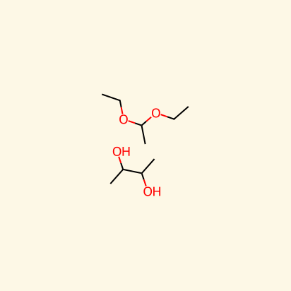 CC(O)C(C)O.CCOC(C)OCC